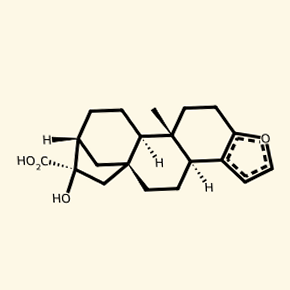 C[C@@]12CCc3occc3[C@H]1CC[C@@]13C[C@@H](CC[C@H]12)[C@@](O)(C(=O)O)C3